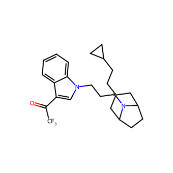 O=C(c1cn(CCCN2C3CCC2CC(CCC2CC2)C3)c2ccccc12)C(F)(F)F